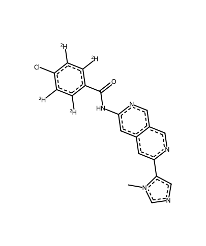 [2H]c1c([2H])c(C(=O)Nc2cc3cc(-c4cncn4C)ncc3cn2)c([2H])c([2H])c1Cl